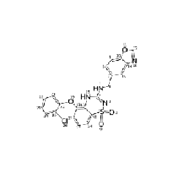 O=S1(=O)N=C(NCc2ccc3ocnc3c2)Nc2c(Oc3ccccc3Cl)cccc21